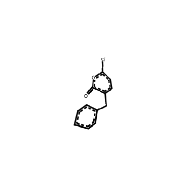 O=c1oc(Cl)ccc1Cc1ccccc1